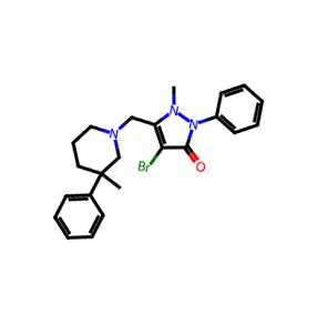 Cn1c(CN2CCCC(C)(c3ccccc3)C2)c(Br)c(=O)n1-c1ccccc1